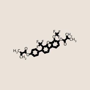 C=C(C)C(=O)Oc1ccc(-c2ccc3c(oc4c(OC(F)(F)F)c(OC(=O)C(=C)C)ccc43)c2C(F)(F)F)cc1